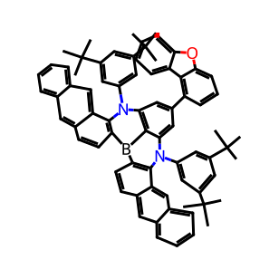 CC(C)(C)c1cc(N2c3cc(-c4cccc5oc6ccccc6c45)cc4c3B(c3ccc5cc6ccccc6cc5c32)c2ccc3cc5ccccc5cc3c2N4c2cc(C(C)(C)C)cc(C(C)(C)C)c2)cc(C(C)(C)C)c1